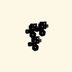 O=C1c2ccccc2C(=O)N1SC(Cl)(Cl)Cl.O=C1c2ccccc2C(=O)N1SC(Cl)(Cl)Cl.O=C1c2ccccc2C(=O)N1SC(Cl)(Cl)Cl